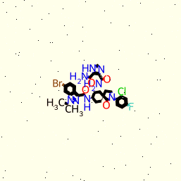 CC(C)n1nc(C(=O)N[C@H]2CC[C@@]3(CCN(c4ccc(F)cc4Cl)C3=O)CC2)c2ccc(Br)cc21.NC(=O)c1nc[nH]c1C(N)=O